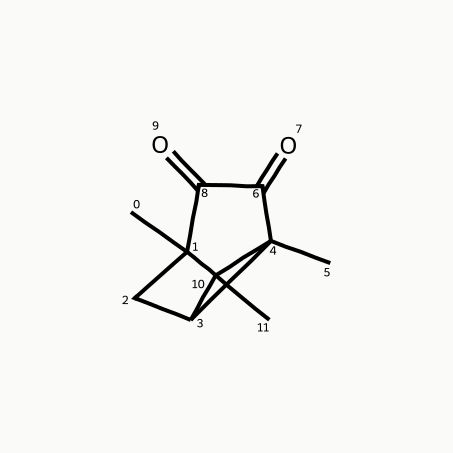 CC12CC3C(C)(C(=O)C1=O)C32C